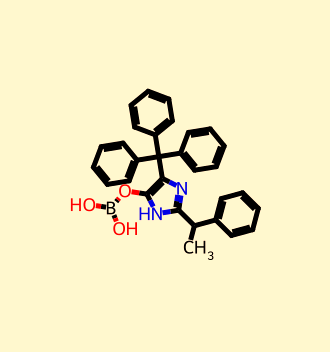 CC(c1ccccc1)c1nc(C(c2ccccc2)(c2ccccc2)c2ccccc2)c(OB(O)O)[nH]1